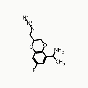 CC(N)c1cc(F)cc2c1OC[C@H](CN=[N+]=[N-])O2